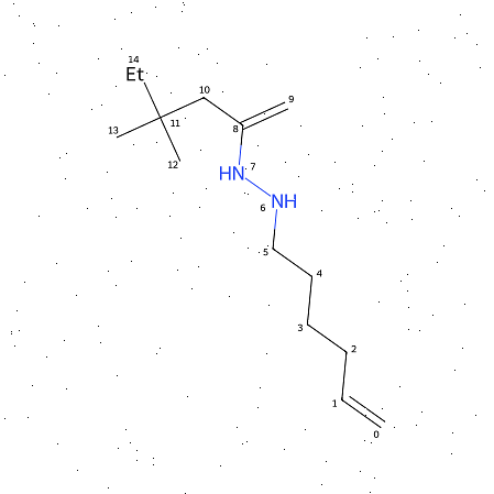 C=CCCCCNNC(=C)CC(C)(C)CC